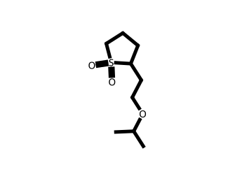 CC(C)OCCC1CCCS1(=O)=O